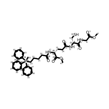 COC(=O)CNC(=O)[C@@H](CS)NC(=O)CC[C@@H](NC(=O)CCCCP(C)(c1ccccc1)(c1ccccc1)c1ccccc1)C(=O)OC